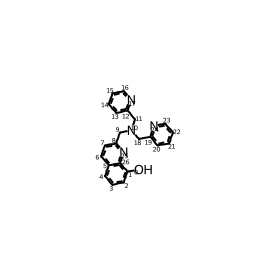 Oc1cccc2ccc(CN(Cc3ccccn3)Cc3ccccn3)nc12